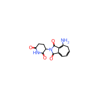 NC1=C2C(=O)N(C3CCC(=O)NC3=O)C(=O)C2=CC=CC1